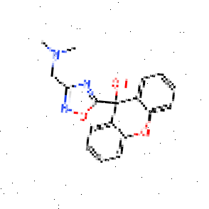 CN(C)Cc1noc(C2(O)c3ccccc3Oc3ccccc32)n1